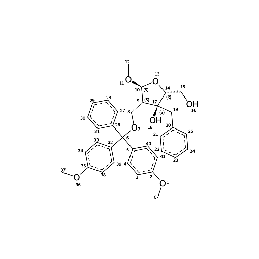 COc1ccc(C(OC[C@@H]2[C@@H](OC)O[C@H](CO)[C@]2(O)Cc2ccccc2)(c2ccccc2)c2ccc(OC)cc2)cc1